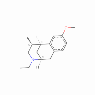 CCN1C[C@@H](C)[C@@H]2C[C@H]1Cc1ccc(OC)cc12